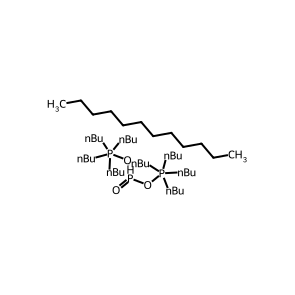 CCCCCCCCCCCC.CCCCP(CCCC)(CCCC)(CCCC)O[PH](=O)OP(CCCC)(CCCC)(CCCC)CCCC